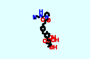 Cc1ccc([C@@]23OC[C@@](C(C)(C)O)(C[C@H](O)[C@H]2O)O3)cc1Cc1ccc(CCCC(=O)N2CCCC[C@H]2C(=O)NCCN(C)C)cc1